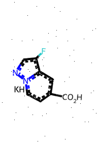 O=C(O)c1ccn2ncc(F)c2c1.[KH]